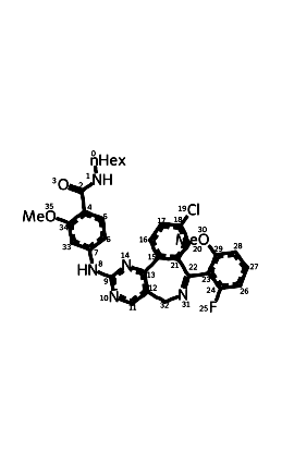 CCCCCCNC(=O)c1ccc(Nc2ncc3c(n2)-c2ccc(Cl)cc2C(c2c(F)cccc2OC)=NC3)cc1OC